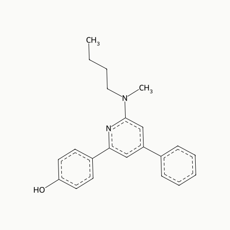 CCCCN(C)c1cc(-c2ccccc2)cc(-c2ccc(O)cc2)n1